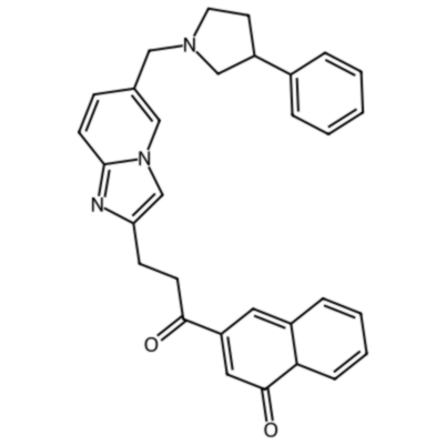 O=C(CCc1cn2cc(CN3CCC(c4ccccc4)C3)ccc2n1)C1=CC(=O)C2C=CC=CC2=C1